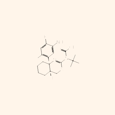 CC(C)(C)N(C(=O)O)C1=N[C@@]2(c3cc(N)c(F)cc3F)CCCC[C@H]2CS1